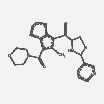 Cc1c(C(=O)C2CSC(c3cccnc3)N2)c2ccccc2n1C(=O)N1CCOCC1